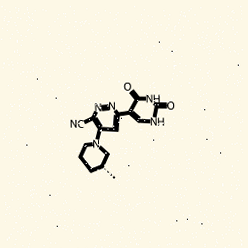 C[C@@H]1CCCN(c2cc(-c3c[nH]c(=O)[nH]c3=O)nnc2C#N)C1